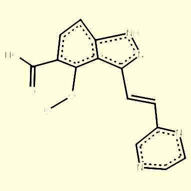 COc1c(C(=O)O)ccc2[nH]nc(C=Cc3cnccn3)c12